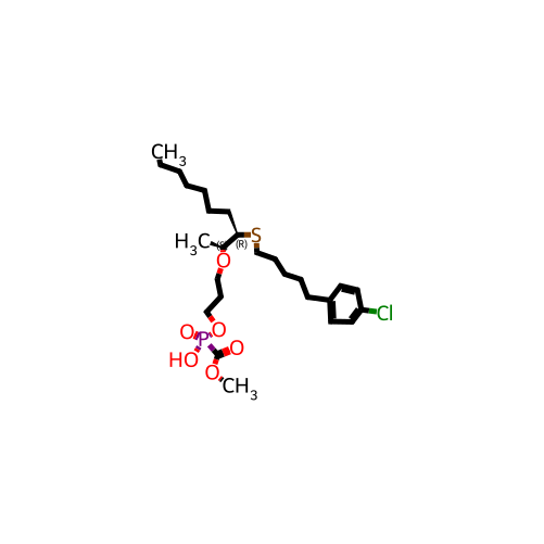 CCCCCCC[C@@H](SCCCCCc1ccc(Cl)cc1)[C@H](C)OCCCOP(=O)(O)C(=O)OC